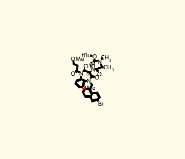 COCCC(=O)N1c2ccccc2N(Cc2c(OC)ccc3cc(Br)ccc23)C(=O)[C@@H](NC(=O)[C@H](C)N(C)C(=O)OC(C)(C)C)[C@@H]1C